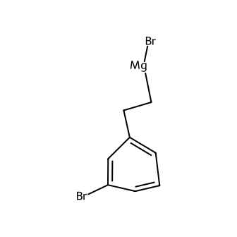 [Br][Mg][CH2]Cc1cccc(Br)c1